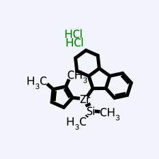 CC1=CC[C]([Zr]([CH]2C3C=CC=CC3C3CCCCC32)=[Si](C)C)=C1C.Cl.Cl